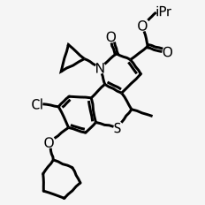 CC(C)OC(=O)c1cc2c(n(C3CC3)c1=O)-c1cc(Cl)c(OC3CCCCC3)cc1SC2C